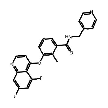 Cc1c(Oc2ccnc3cc(F)cc(F)c23)cccc1C(=O)NCc1ccncc1